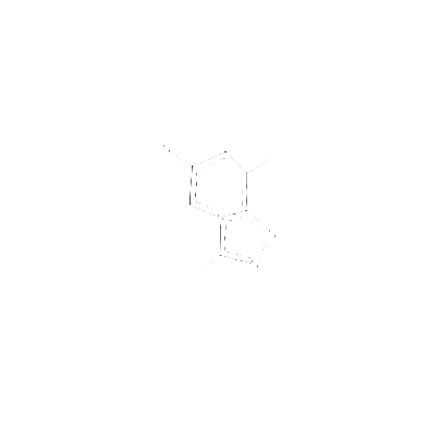 Cc1nnc2c(F)cc([N+](=O)[O-])cn12